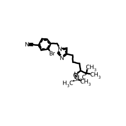 C[SiH](C)OC(CCCc1cn(Cc2ccc(C#N)cc2Br)cn1)C(C)(C)C